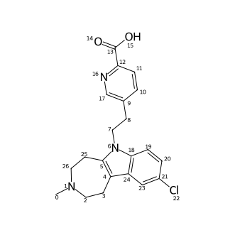 CN1CCc2c(n(CCc3ccc(C(=O)O)nc3)c3ccc(Cl)cc23)CC1